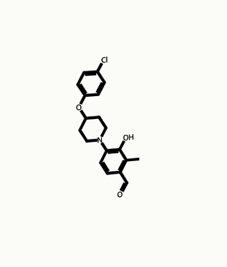 Cc1c(C=O)ccc(N2CCC(Oc3ccc(Cl)cc3)CC2)c1O